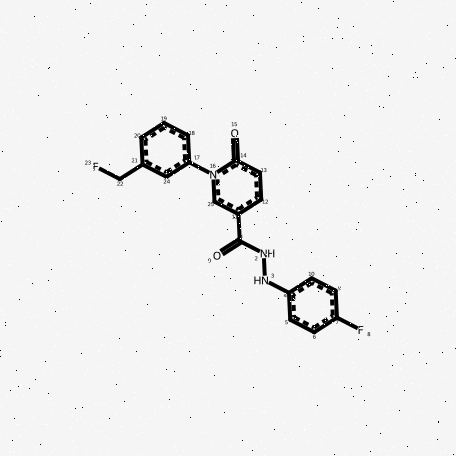 O=C(NNc1ccc(F)cc1)c1ccc(=O)n(-c2cccc(CF)c2)c1